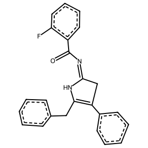 O=C(/N=C1/CC(c2ccccc2)=C(Cc2ccccc2)N1)c1ccccc1F